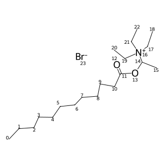 CCCCCCCCCCCC(=O)OC(C)[N+](CC)(CC)CC.[Br-]